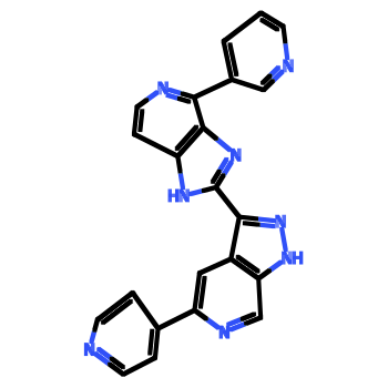 c1cncc(-c2nccc3[nH]c(-c4n[nH]c5cnc(-c6ccncc6)cc45)nc23)c1